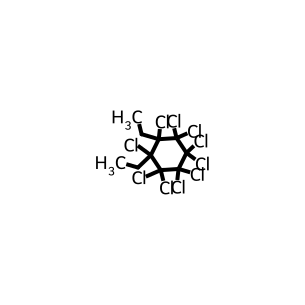 CCC1(Cl)C(Cl)(Cl)C(Cl)(Cl)C(Cl)(Cl)C(Cl)(Cl)C1(Cl)CC